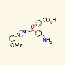 COc1cccc(N2CCN(CC[C@H](Oc3ccc(C(=O)O)cc3)c3ccc(CN)cc3)CC2)c1